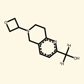 [2H]C([2H])(O)c1ccc2c(n1)CCN(C1COC1)C2